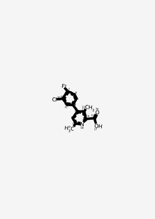 Cc1cc(-c2ccc(F)c(Cl)c2)c(C)c(C(=O)O)n1